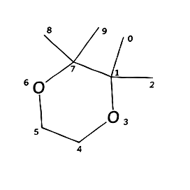 CC1(C)OCCOC1(C)C